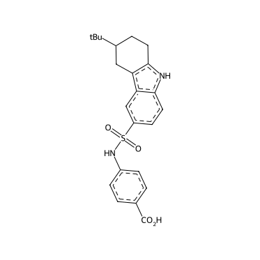 CC(C)(C)C1CCc2[nH]c3ccc(S(=O)(=O)Nc4ccc(C(=O)O)cc4)cc3c2C1